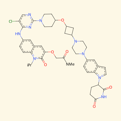 CNC(=O)COc1cc2cc(Nc3nc(N4CCC(OC5CC(N6CCN(c7ccc8c(ccn8C8CCC(=O)NC8=O)c7)CC6)C5)CC4)ncc3Cl)ccc2n(C(C)C)c1=O